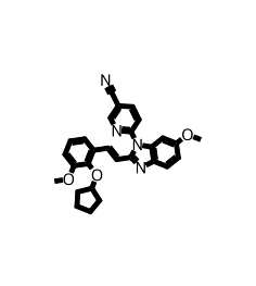 COc1ccc2nc(C=Cc3cccc(OC)c3OC3CCCC3)n(-c3ccc(C#N)cn3)c2c1